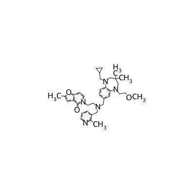 COCCN1CC(C)(C)CN(CC2CC2)c2ccc(CN(CCn3ccc4oc(C)cc4c3=O)Cc3cccnc3C)cc21